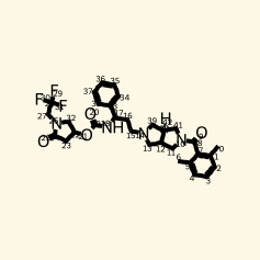 Cc1cccc(C)c1C(=O)N1CC2CN(CCC(NC(=O)OC3CC(=O)N(CC(F)(F)F)C3)c3ccccc3)C[C@H]2C1